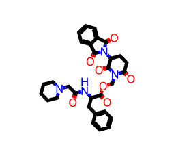 O=C(CN1CCCCC1)NC(Cc1ccccc1)C(=O)OCN1C(=O)CCC(N2C(=O)c3ccccc3C2=O)C1=O